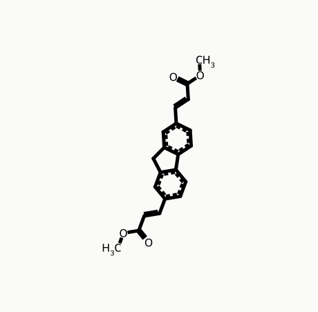 COC(=O)C=Cc1ccc2c(c1)Cc1cc(C=CC(=O)OC)ccc1-2